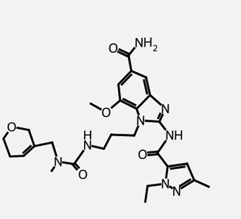 CCn1nc(C)cc1C(=O)Nc1nc2cc(C(N)=O)cc(OC)c2n1CCCNC(=O)N(C)CC1=CCCOC1